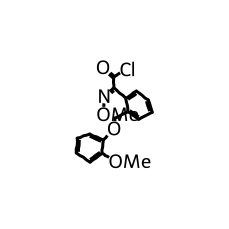 CO/N=C(/C(=O)Cl)c1ccccc1COc1ccccc1OC